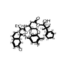 CCC(C(=O)NC(CC(=O)OC(O)C(C)(C)c1ccccc1)C(=O)COc1c(F)c(F)cc(F)c1F)n1ccc2ccc(Cl)cc2c1=O